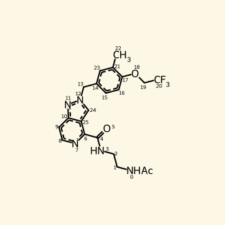 CC(=O)NCCNC(=O)c1nccc2nn(Cc3ccc(OCC(F)(F)F)c(C)c3)cc12